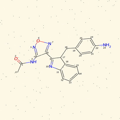 CC(=O)Nc1nonc1C1=Nc2ccccc2C1Cc1ccc(N)cc1